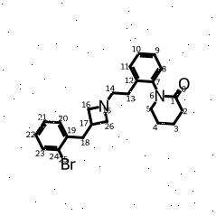 O=C1CCCCN1c1ccccc1CCN1CC(Cc2ccccc2Br)C1